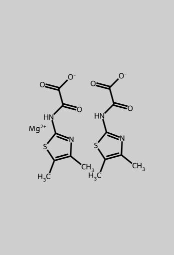 Cc1nc(NC(=O)C(=O)[O-])sc1C.Cc1nc(NC(=O)C(=O)[O-])sc1C.[Mg+2]